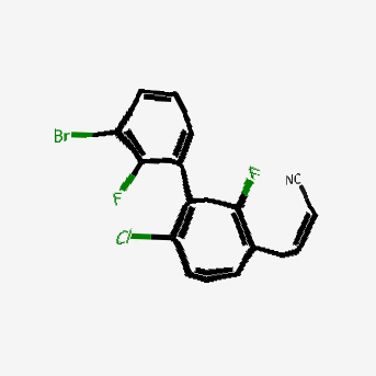 N#C/C=C\c1ccc(Cl)c(-c2cccc(Br)c2F)c1F